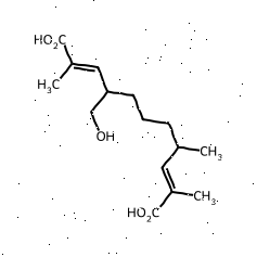 CC(=CC(C)CCCC(C=C(C)C(=O)O)CO)C(=O)O